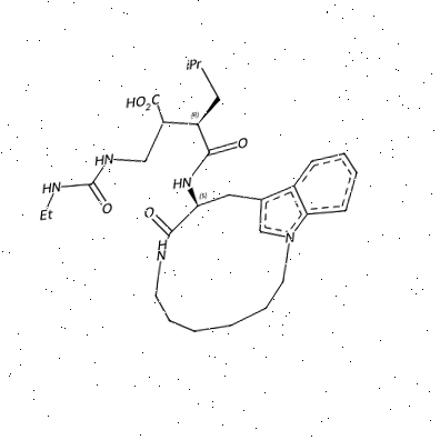 CCNC(=O)NCC(C(=O)O)[C@@H](CC(C)C)C(=O)N[C@H]1Cc2cn(c3ccccc23)CCCCCCNC1=O